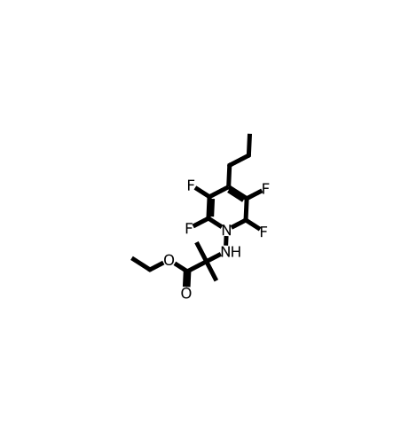 CCCC1=C(F)C(F)N(NC(C)(C)C(=O)OCC)C(F)=C1F